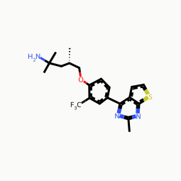 Cc1nc(-c2ccc(OC[C@@H](C)CC(C)(C)N)c(C(F)(F)F)c2)c2ccsc2n1